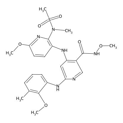 CONC(=O)c1cnc(Nc2cccc(C)c2OC)cc1Nc1ccc(OC)nc1N(C)S(C)(=O)=O